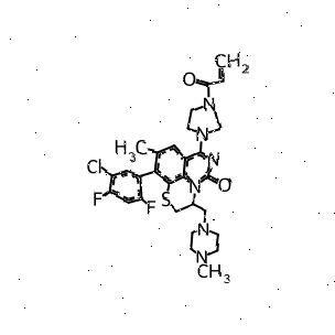 C=CC(=O)N1CCN(c2nc(=O)n3c4c(c(-c5cc(Cl)c(F)cc5F)c(C)cc24)SCC3CN2CCN(C)CC2)CC1